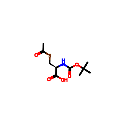 CC(=O)SC[C@H](NC(=O)OC(C)(C)C)C(=O)O